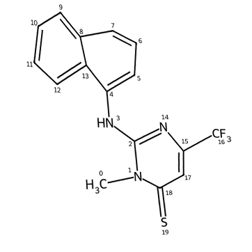 Cn1c(Nc2cccc3ccccc23)nc(C(F)(F)F)cc1=S